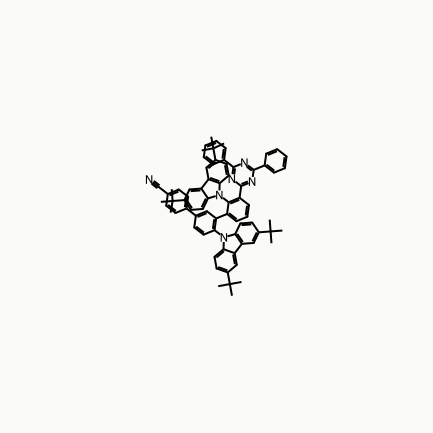 CC(C)(C)c1ccc2c(c1)c1cc(C(C)(C)C)ccc1n2-c1ccc(-c2ccc(C#N)cc2)cc1-c1cccc(-c2nc(-c3ccccc3)nc(-c3ccccc3)n2)c1-n1c2ccc(C(C)(C)C)cc2c2cc(C(C)(C)C)ccc21